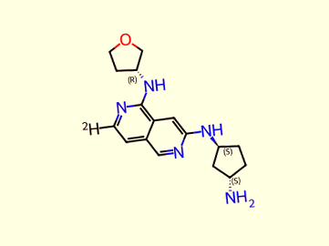 [2H]c1cc2cnc(N[C@H]3CC[C@H](N)C3)cc2c(N[C@@H]2CCOC2)n1